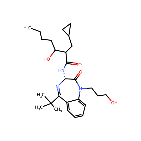 CCCCC(O)C(CC1CC1)C(=O)N[C@H]1N=C(C(C)(C)C)c2ccccc2N(CCCO)C1=O